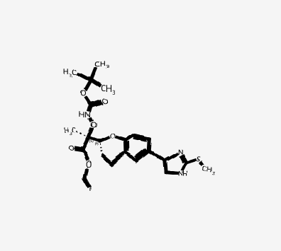 CSC1=NC(c2ccc3c(c2)CC[C@H]([C@](C)(ONC(=O)OC(C)(C)C)C(=O)OCI)O3)CN1